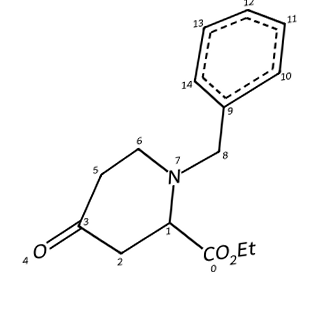 CCOC(=O)C1CC(=O)CCN1Cc1ccccc1